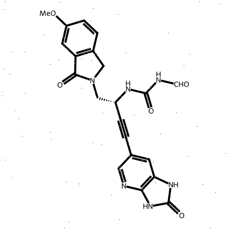 COc1ccc2c(c1)C(=O)N(C[C@@H](C#Cc1cnc3[nH]c(=O)[nH]c3c1)NC(=O)NC=O)C2